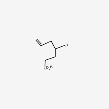 C=CCC(CC)CCC(=O)O